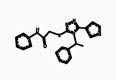 CC(c1ccccc1)n1c(SCC(=O)Nc2ccccc2)nnc1-c1ccsc1